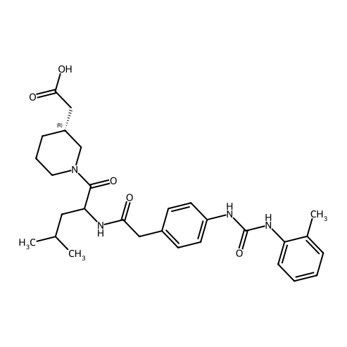 Cc1ccccc1NC(=O)Nc1ccc(CC(=O)NC(CC(C)C)C(=O)N2CCC[C@H](CC(=O)O)C2)cc1